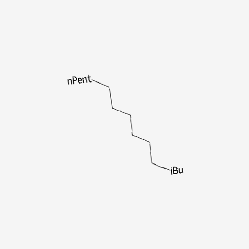 [CH2]CCCCCCCCCCC(C)C[CH2]